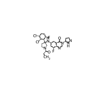 C=CC(=O)N1CC[C@](Nc2cc(F)c3ncn(-c4ccn[nH]4)c(=O)c3c2)(c2c(F)ccc(Cl)c2Cl)C1